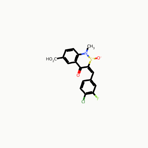 CN1c2ccc(C(=O)O)cc2C(=O)/C(=C\c2ccc(Cl)c(F)c2)[S+]1[O-]